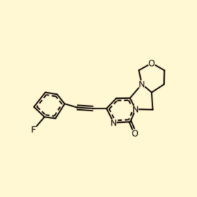 O=c1nc(C#Cc2cccc(F)c2)cc2n1CC1CCOCN21